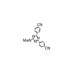 CNc1nc(-c2ccc(C#N)cc2)nc(-c2ccc(C#N)cc2)n1